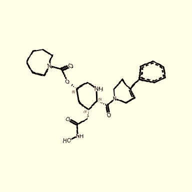 O=C(C[C@@H]1C[C@H](OC(=O)N2CCCCCC2)CN[C@@H]1C(=O)N1CC=C(c2ccccc2)CC1)NO